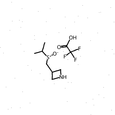 CC(C)[S+]([O-])CC1CNC1.O=C(O)C(F)(F)F